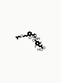 COc1c(CCCOCCC(C)C)cccc1-c1csc(NC(=O)c2cc(F)c(/C=C(\C)C(=O)O)c(F)c2)n1